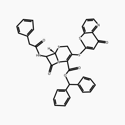 O=C(Cc1ccccc1)NC1C(=O)N2C(C(=O)OC(c3ccccc3)c3ccccc3)=C(Sc3cc(=O)c4ncccc4s3)CS[C@@H]12